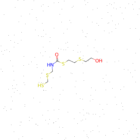 O=C(NCSCS)SCCSCCO